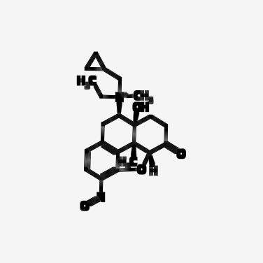 CC[N+](C)(CC1CC1)[C@@H]1Cc2ccc(N=O)c3c2[C@@]2(C)[C@@H](O3)C(=O)CC[C@@]12O